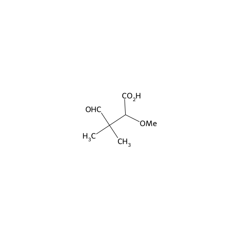 COC(C(=O)O)C(C)(C)C=O